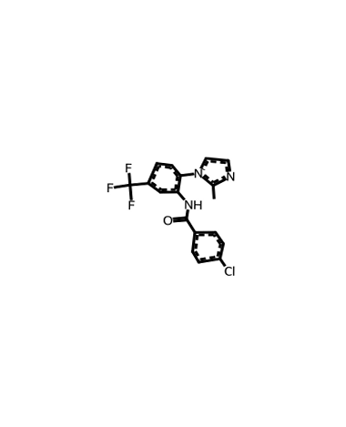 Cc1nccn1-c1ccc(C(F)(F)F)cc1NC(=O)c1ccc(Cl)cc1